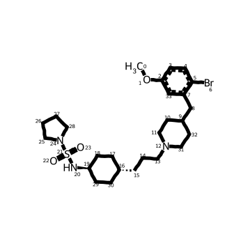 COc1ccc(Br)c(CC2CCN(CCC[C@H]3CC[C@H](NS(=O)(=O)N4CCCC4)CC3)CC2)c1